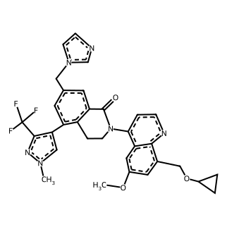 COc1cc(COC2CC2)c2nccc(N3CCc4c(cc(Cn5ccnc5)cc4-c4cn(C)nc4C(F)(F)F)C3=O)c2c1